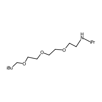 CCC(C)COCCOCCOCCNC(C)C